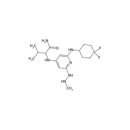 CNNc1cc(NC(C(N)=O)C(C)C)cc(NC2CCC(F)(F)CC2)n1